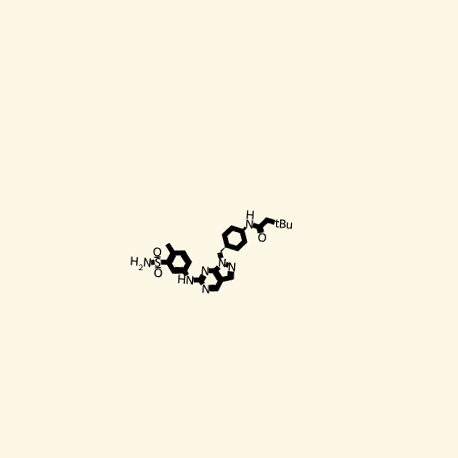 Cc1ccc(Nc2ncc3cnn(C[C@H]4CC[C@H](NC(=O)CC(C)(C)C)CC4)c3n2)cc1S(N)(=O)=O